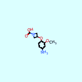 COc1cc(N)ccc1OC1CN(C(=O)O)C1